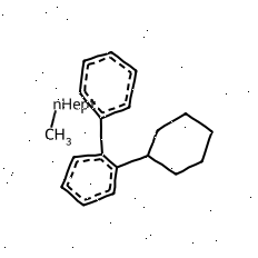 CCCCCCCC.c1ccc(-c2ccccc2C2CCCCC2)cc1